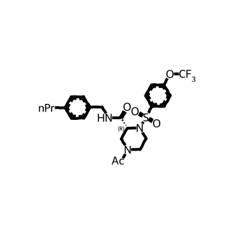 CCCc1ccc(CNC(=O)[C@H]2CN(C(C)=O)CCN2S(=O)(=O)c2ccc(OC(F)(F)F)cc2)cc1